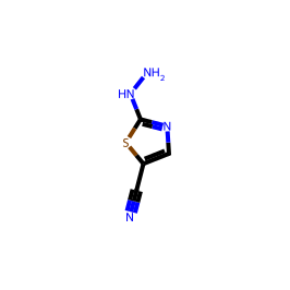 N#Cc1cnc(NN)s1